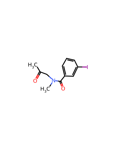 CC(=O)CN(C)C(=O)c1cccc(I)c1